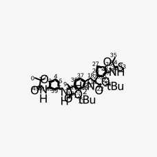 CC1Oc2ccc(NC(C)(C(=O)OC(C)(C)C)c3ccc(CC(N)(C(=O)OC(C)(C)C)c4ccc5c(c4)NC(=S)C(C)O5)cc3)cc2NC1=O